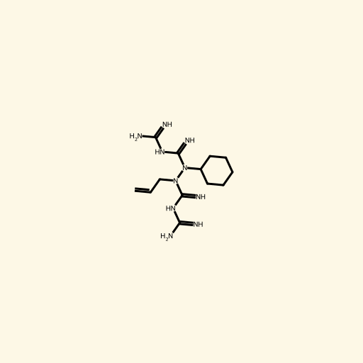 C=CCN(C(=N)NC(=N)N)N(C(=N)NC(=N)N)C1CCCCC1